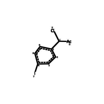 CC(=O)C(Cl)c1ccc(I)cc1